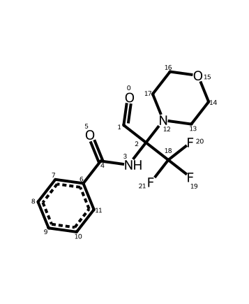 O=CC(NC(=O)c1ccccc1)(N1CCOCC1)C(F)(F)F